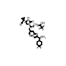 CO[C@@H](Cc1cnn2cc([C@@H](N)C3CCC(F)(F)CC3)nc2c1)N1C[C@@H](C2(C#N)CC2)NC1=O.O=C(O)C(F)(F)F